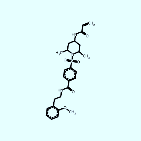 C=CC(=O)NC1CC(C)N(S(=O)(=O)c2ccc(C(=O)NCCc3ccccc3OC)cc2)C(C)C1